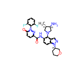 C[C@H]1CN(c2c(NC(=O)c3ccc(=O)n(-c4c(F)cccc4F)n3)ccc3c2cnn3[C@@H]2CCCOC2)C[C@@H]1N